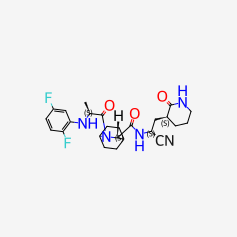 C[C@H](Nc1cc(F)ccc1F)C(=O)N1C2CCC(CC2)[C@H]1C(=O)N[C@H](C#N)C[C@@H]1CCCNC1=O